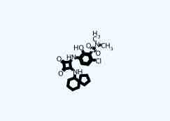 CN(C)S(=O)(=O)c1c(Cl)ccc(NC2C(=O)C(=O)C2NC2CCCCC23CCCC3)c1O